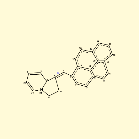 C1=CC2/C(=C/c3ccc4ccc5cccc6ccc3c4c56)CCN2C=C1